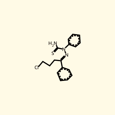 NC(=S)N(/N=C(\CCCCl)c1ccccc1)c1ccccc1